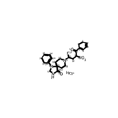 Cl.O=C(c1ccccc1)C(CC(F)N1CCC2(CC1)C(=O)NCN2c1ccccc1)[N+](=O)[O-]